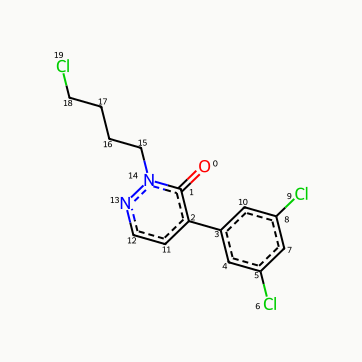 O=c1c(-c2cc(Cl)cc(Cl)c2)ccnn1CCCCCl